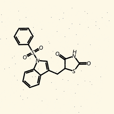 O=C1NC(=O)C(Cc2cn(S(=O)(=O)c3ccccc3)c3ccccc23)S1